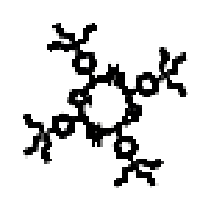 C=CC[N+](CC=C)(CC=C)c1ccc(-c2c3nc(c(-c4ccc([N+](CC=C)(CC=C)CC=C)cc4)c4ccc([nH]4)c(-c4ccc([N+](CC=C)(CC=C)CC=C)cc4)c4nc(c(-c5ccc([N+](CC=C)(CC=C)CC=C)cc5)c5ccc2[nH]5)C=C4)C=C3)cc1